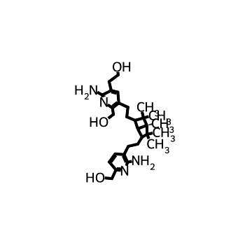 CC1(C)C(CCc2ccc(CO)nc2N)C2C(CCc3cc(CCO)c(N)nc3CO)C(C)(C)[C@]21C